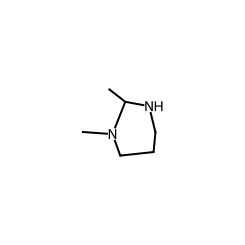 CC1NCCCN1C